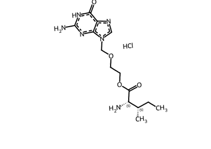 CC[C@H](C)[C@H](N)C(=O)OCCOCn1cnc2c(=O)[nH]c(N)nc21.Cl